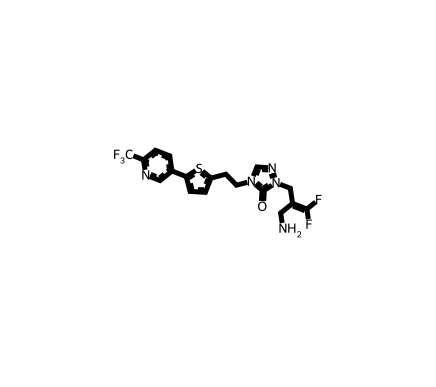 NCC(Cn1ncn(CCc2ccc(-c3ccc(C(F)(F)F)nc3)s2)c1=O)=C(F)F